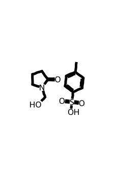 Cc1ccc(S(=O)(=O)O)cc1.O=C1CCCN1CO